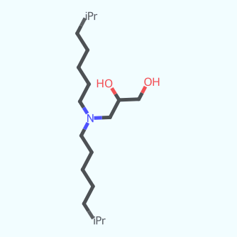 CC(C)CCCCCN(CCCCCC(C)C)CC(O)CO